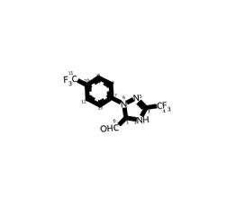 O=CC1NC(C(F)(F)F)=NN1c1ccc(C(F)(F)F)cc1